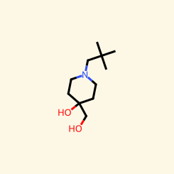 CC(C)(C)CN1CCC(O)(CO)CC1